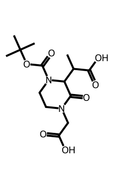 CC(C(=O)O)C1C(=O)N(CC(=O)O)CCN1C(=O)OC(C)(C)C